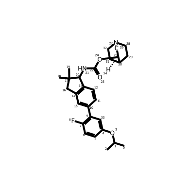 CC(C)Oc1ccc(F)c(-c2ccc3c(c2)CC(C)(C)C3NC(=O)O[C@H]2CN3CCC2CC3)c1